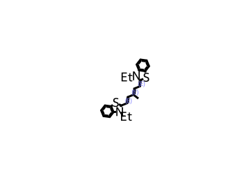 CCN1\C(=C/C=C(C)/C=C/C2Sc3ccccc3N2CC)Sc2ccccc21